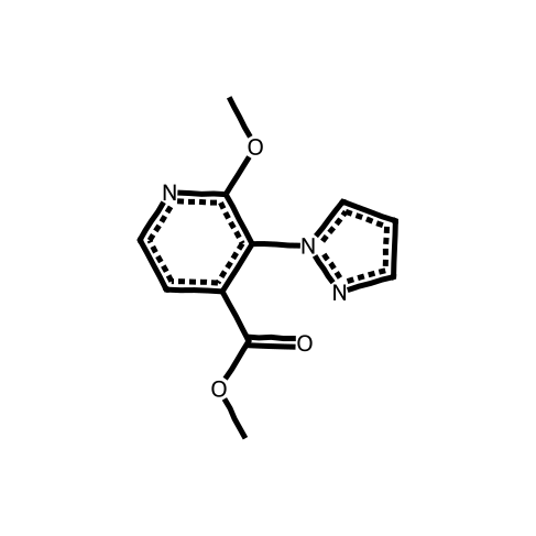 COC(=O)c1ccnc(OC)c1-n1cccn1